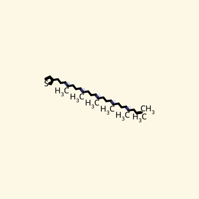 CC(C)=CC/C(C)=C/CC/C(C)=C/CC/C(C)=C/CC/C(C)=C/CC/C(C)=C/CCc1ccsc1